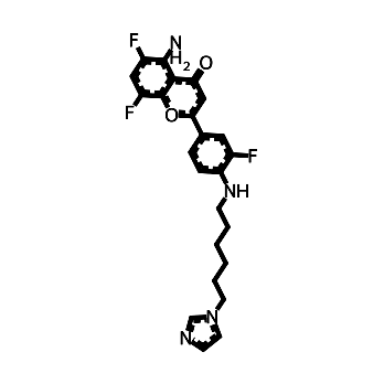 Nc1c(F)cc(F)c2oc(-c3ccc(NCCCCCCn4ccnc4)c(F)c3)cc(=O)c12